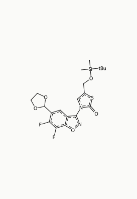 CC(C)(C)[Si](C)(C)OCc1cn(-c2noc3c(F)c(F)c(C4OCCO4)cc23)c(=O)s1